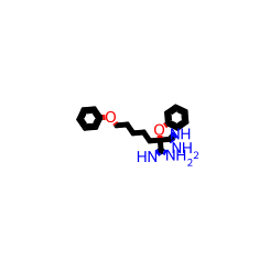 N=C(N)C(CCCCCOc1ccccc1)(Oc1ccccc1)C(=N)N